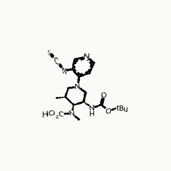 C[C@H]1CN(c2ccncc2N=C=S)C[C@@H](NC(=O)OC(C)(C)C)[C@H]1N(C)C(=O)O